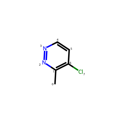 Cc1nn[c]cc1Cl